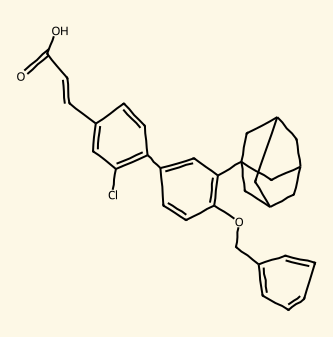 O=C(O)C=Cc1ccc(-c2ccc(OCc3ccccc3)c(C34CC5CC(CC(C5)C3)C4)c2)c(Cl)c1